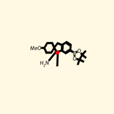 COC1CCC2(CC1)Cc1ccc(B3OC(C)(C)C(C)(C)O3)cc1C21N=C(C)C(N)=N1